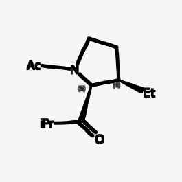 CC[C@@H]1CCN(C(C)=O)[C@@H]1C(=O)C(C)C